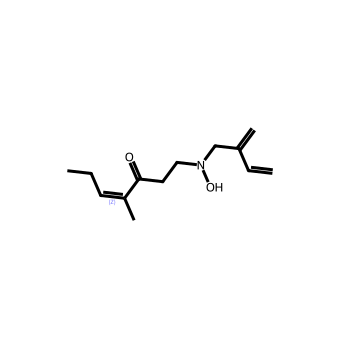 C=CC(=C)CN(O)CCC(=O)/C(C)=C\CC